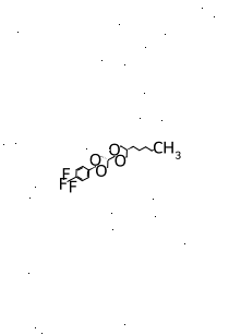 CCCCC[C@H]1CO[C@H]([C@H]2CO[C@H](c3ccc(C(F)(F)F)cc3)OC2)OC1